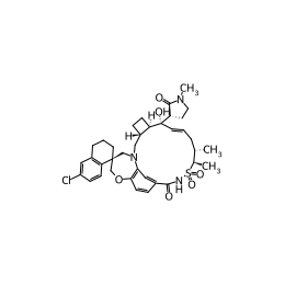 C[C@@H]1[C@@H](C)C/C=C/[C@](O)([C@H]2CCN(C)C2=O)[C@@H]2CC[C@H]2CN2C[C@@]3(CCCc4cc(Cl)ccc43)COc3ccc(cc32)C(=O)NS1(=O)=O